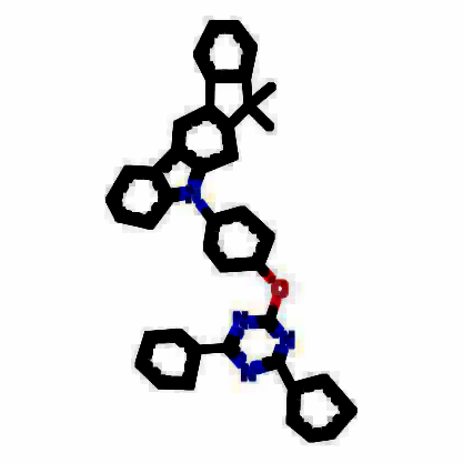 CC1(C)c2ccccc2-c2cc3c4ccccc4n(-c4ccc(Oc5nc(-c6ccccc6)nc(-c6ccccc6)n5)cc4)c3cc21